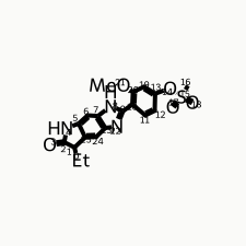 CCC1C(=O)Nc2cc3[nH]c(-c4ccc(OS(C)(=O)=O)cc4OC)nc3cc21